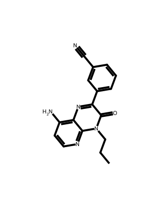 CCCn1c(=O)c(-c2cccc(C#N)c2)nc2c(N)ccnc21